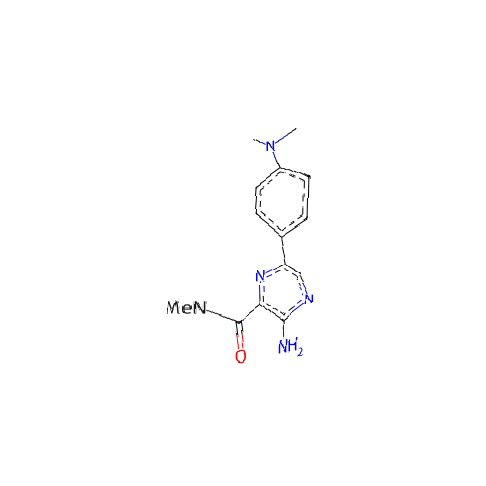 CNC(=O)c1nc(-c2ccc(N(C)C)cc2)cnc1N